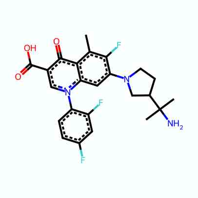 Cc1c(F)c(N2CCC(C(C)(C)N)C2)cc2c1c(=O)c(C(=O)O)cn2-c1ccc(F)cc1F